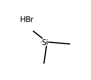 Br.C[Si](C)C